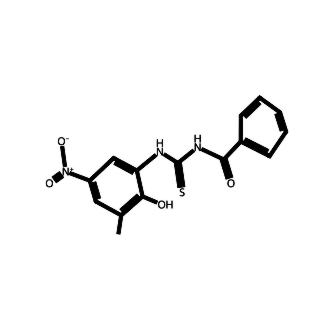 Cc1cc([N+](=O)[O-])cc(NC(=S)NC(=O)c2ccccc2)c1O